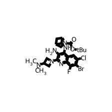 CN(C)C1CN(c2nc3c(F)c(Br)c(Cl)cc3c(NC3C4CC3N(C(=O)OC(C)(C)C)C4)c2N)C1